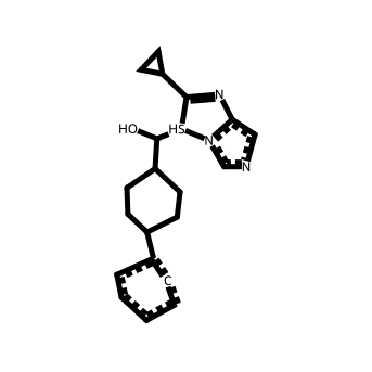 OC(C1CCC(c2ccccc2)CC1)[SH]1C(C2CC2)=Nc2cncn21